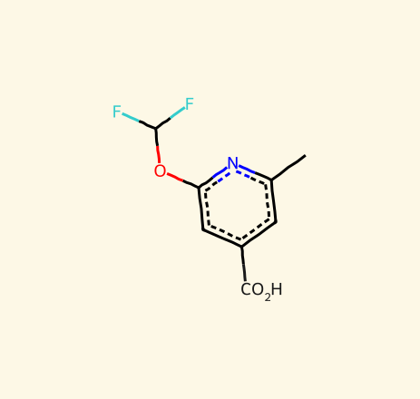 Cc1cc(C(=O)O)cc(OC(F)F)n1